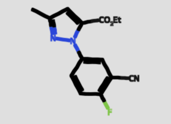 CCOC(=O)c1cc(C)nn1-c1ccc(F)c(C#N)c1